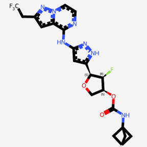 O=C(NC12CC(C1)C2)O[C@H]1CO[C@@H](c2cc(Nc3nccn4nc(CC(F)(F)F)cc34)n[nH]2)[C@H]1F